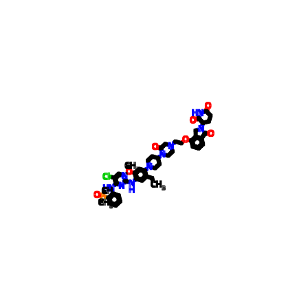 CCc1cc(Nc2ncc(Cl)c(Nc3ccccc3P(C)(C)=O)n2)c(OC)cc1N1CCC(N2CCN(CCOc3cccc4c3CN(C3CCC(=O)NC3=O)C4=O)CC2=O)CC1